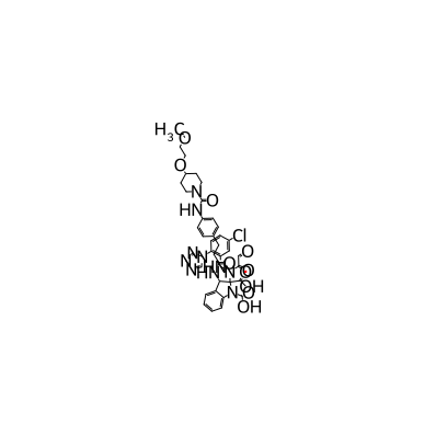 COCCOC1CCN(C(=O)Nc2ccc(CCC(=O)NC3c4ccccc4N(C(=O)O)C3(C(=O)O)N(Nc3cc(Cl)ccc3-n3cnnn3)C(=O)C=O)cc2)CC1